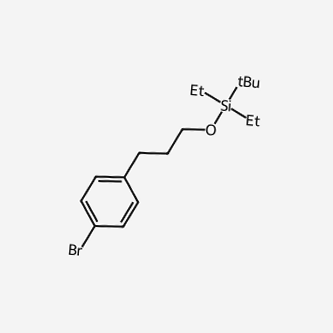 CC[Si](CC)(OCCCc1ccc(Br)cc1)C(C)(C)C